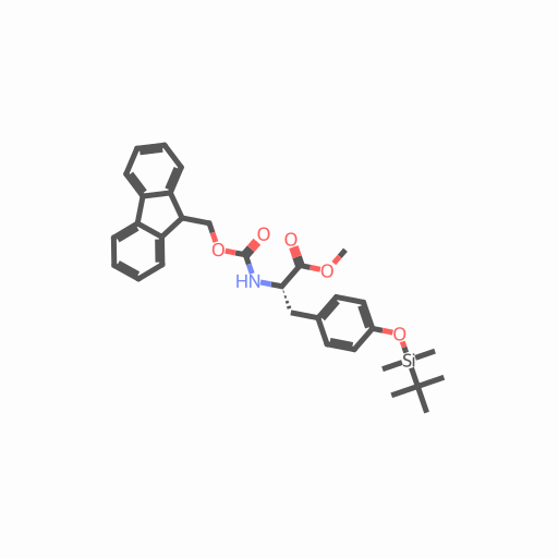 COC(=O)[C@H](Cc1ccc(O[Si](C)(C)C(C)(C)C)cc1)NC(=O)OCC1c2ccccc2-c2ccccc21